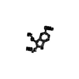 COc1ccc2sc(C(=O)O)c(OC(C)C)c2c1